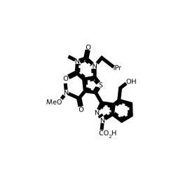 CON(C)C(=O)c1c(-c2nn(C(=O)O)c3cccc(CO)c23)sc2c1c(=O)n(C)c(=O)n2CC(C)C